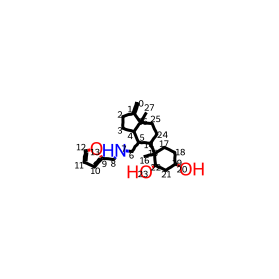 C=C1CCC2C(CNCc3ccco3)C(C3(C)CCC(O)CC3O)CCC12C